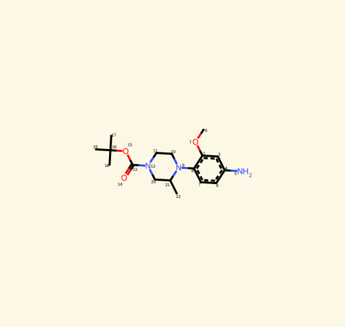 COc1cc(N)ccc1N1CCN(C(=O)OC(C)(C)C)CC1C